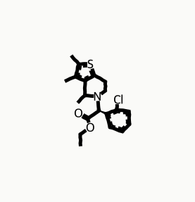 CCOC(=O)[C@H](c1ccccc1Cl)N1CCc2sc(C)c(C)c2C1C